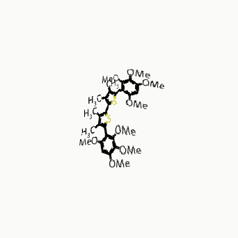 COc1cc(OC)c(-c2sc(-c3sc(-c4c(OC)cc(OC)c(OC)c4OC)c(C)c3C)c(C)c2C)c(OC)c1OC